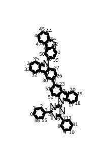 c1ccc(-c2nc(-c3ccccc3)nc(-n3c4ccccc4c4cc(-c5ccc6c(c5)c5ccccc5n6-c5ccc6sc7ccccc7c6c5)ccc43)n2)cc1